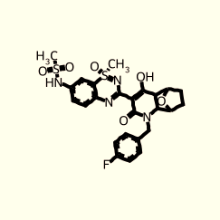 CS(=O)(=O)Nc1ccc2c(c1)S(C)(=O)=NC(C1=C(O)C3C4CCC(O4)C3N(Cc3ccc(F)cc3)C1=O)=N2